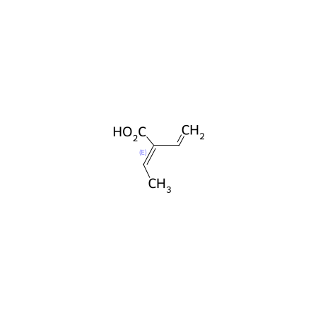 C=C/C(=C\C)C(=O)O